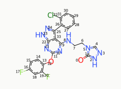 O=c1[nH]ncn1CCNc1nc(Oc2ccc(F)cc2F)nc2[nH]nc(-c3ccccc3Cl)c12